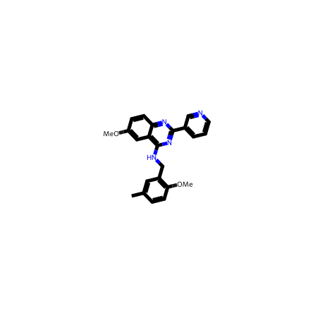 COc1ccc2nc(-c3cccnc3)nc(NCc3cc(C)ccc3OC)c2c1